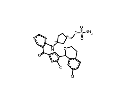 NS(=O)(=O)OC[C@@H]1CC[C@H](Nc2ncncc2C(=O)c2cc(C3OCCc4ccc(Cl)cc43)c(Cl)s2)C1